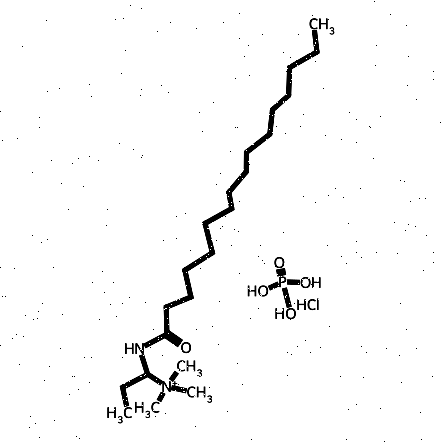 CCCCCCCCCCCCCCCC(=O)NC(CC)[N+](C)(C)C.Cl.O=P(O)(O)O